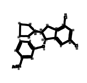 CC(=O)Nc1cccc(O[C@H]2c3cc(Cl)cc(Cl)c3C[C@@H]2N2CCCC2)c1